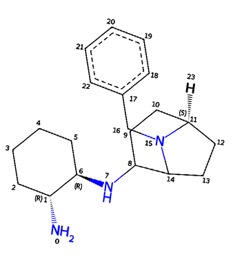 N[C@@H]1CCCC[C@H]1NC1CC[C@H]2CCC1N2Cc1ccccc1